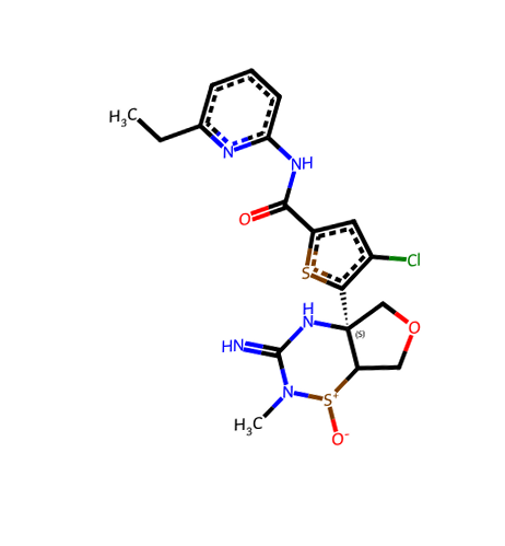 CCc1cccc(NC(=O)c2cc(Cl)c([C@]34COCC3[S+]([O-])N(C)C(=N)N4)s2)n1